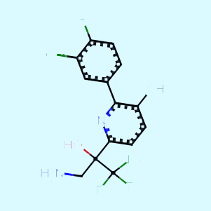 Cc1ccc(C(O)(CN)C(F)(F)F)nc1-c1ccc(F)c(Cl)c1